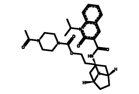 CC(=O)N1CCN(C(=O)OCCCN2[C@@H]3CC[C@H]2C[C@@H](NC(=O)c2cc4ccccc4n(C(C)C)c2=O)C3)CC1